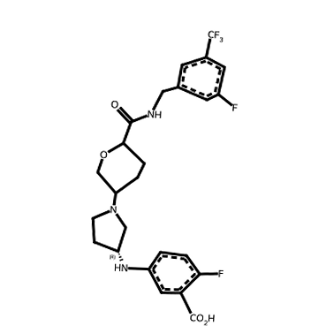 O=C(O)c1cc(N[C@@H]2CCN(C3CCC(C(=O)NCc4cc(F)cc(C(F)(F)F)c4)OC3)C2)ccc1F